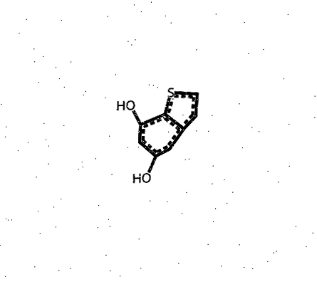 Oc1cc(O)c2sccc2c1